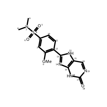 COc1cc(S(=O)(=O)N(C)C)ccc1-c1nc2[nH]c(=O)ncc2[nH]1